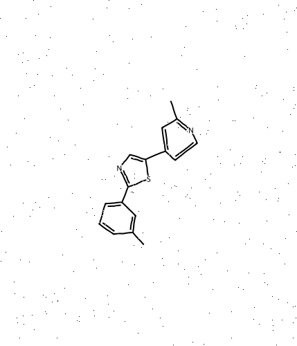 Cc1cccc(-c2ncc(-c3ccnc(C)c3)s2)c1